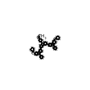 COc1ccc(-n2c3ccc(-c4ccc5c(c4)c4cc(OC6CCCCC6)ccc4n5-c4ccccc4)cc3c3cc(-c4ccc5c(c4)c4cc(OC6CCCCC6)ccc4n5-c4ccccc4)ccc32)cc1